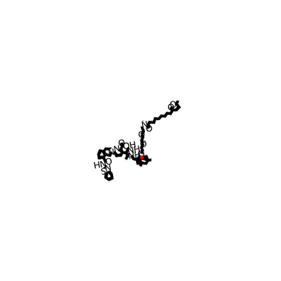 CC(=O)/C=C\C(=O)CCCCCCCCC(=O)N(C)CCOCCOCCOC12CC3(C)CC(C)(CC(CN/C(C)=C(\C=N)c4ccc(N5CCc6cccc(C(=O)Nc7nc8ccccc8s7)c6C5)nc4C(=O)O)(C3)C1)C2